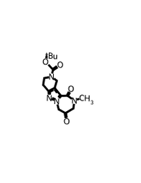 CN1CC(=O)Cn2nc3c(c2C1=O)CN(C(=O)OC(C)(C)C)CC3